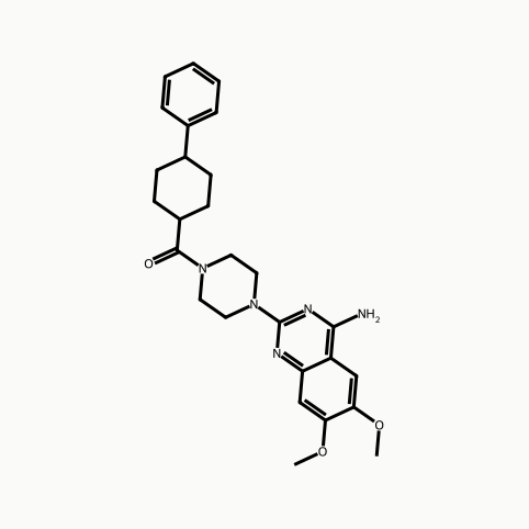 COc1cc2nc(N3CCN(C(=O)C4CCC(c5ccccc5)CC4)CC3)nc(N)c2cc1OC